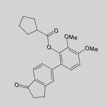 COc1ccc(-c2ccc3c(c2)CCC3=O)c(OC(=O)C2CCCC2)c1OC